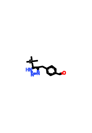 C[Si](C)(C)c1[nH]nnc1Cc1ccc(C=O)cc1